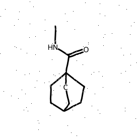 CNC(=O)C12CCC(CC1)CC2